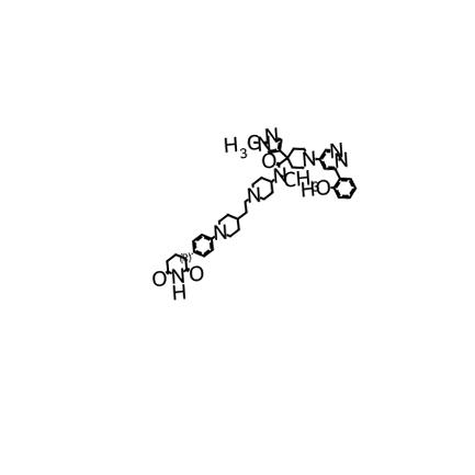 CN(C(=O)C1(c2cnn(C)c2)CCN(c2cnnc(-c3ccccc3O)c2)CC1)C1CCN(CCC2CCN(c3ccc([C@H]4CCC(=O)NC4=O)cc3)CC2)CC1